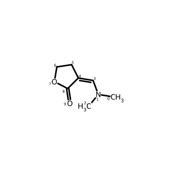 CN(C)/C=C1/CCOC1=O